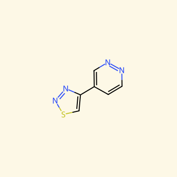 c1cc(-c2csnn2)cnn1